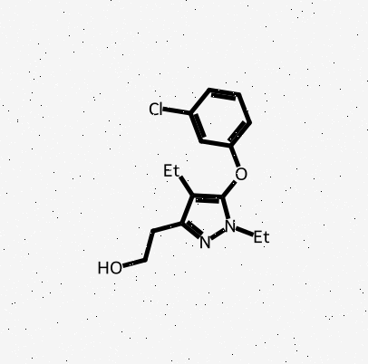 CCc1c(CCO)nn(CC)c1Oc1cccc(Cl)c1